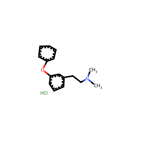 CN(C)CCc1cccc(Oc2ccccc2)c1.Cl